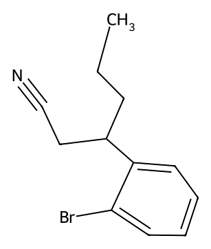 CCCC(CC#N)c1ccccc1Br